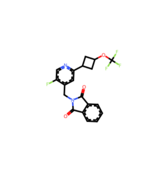 O=C1c2ccccc2C(=O)N1Cc1cc(C2CC(OC(F)(F)F)C2)ncc1F